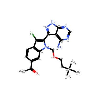 COC(=O)c1ccc2c(Cl)c(-c3n[nH]c4ncnc(N)c34)n(COCC[Si](C)(C)C)c2c1